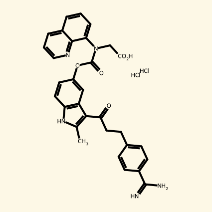 Cc1[nH]c2ccc(OC(=O)N(CC(=O)O)c3cccc4cccnc34)cc2c1C(=O)CCc1ccc(C(=N)N)cc1.Cl.Cl